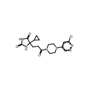 O=C1NC(=O)C(CCC(=O)N2CCN(c3cnnc(Cl)c3)CC2)(C2CC2)N1